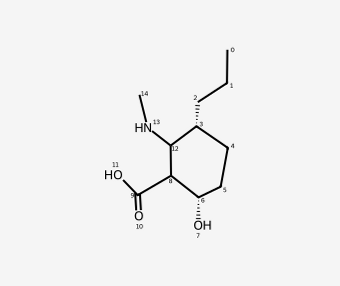 CCC[C@@H]1CC[C@H](O)C(C(=O)O)C1NC